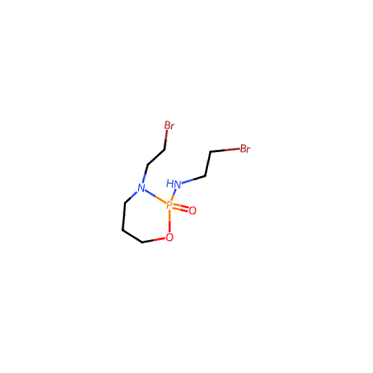 O=P1(NCCBr)OCCCN1CCBr